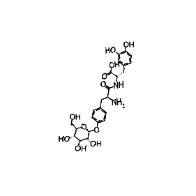 N[C@@H](Cc1ccc(O[C@@H]2O[C@H](CO)[C@@H](O)[C@H](O)[C@H]2O)cc1)C(=O)N[C@@H](Cc1ccc(O)c(O)c1)C(=O)O